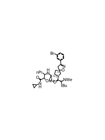 CCCC(NC(=O)[C@@H]1C[C@]2(CC(c3cccc(Br)c3)=NO2)CN1C(=O)[C@@H](NC)C(C)(C)C)C(OC)C(=O)NC1CC1